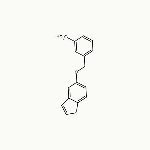 O=C(O)c1cccc(COc2ccc3sccc3c2)c1